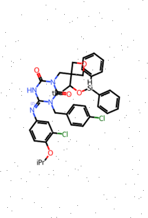 CC(C)Oc1ccc(/N=c2/[nH]c(=O)n(CC3(C(O[SiH](c4ccccc4)c4ccccc4)C(C)(C)C)COC3)c(=O)n2Cc2ccc(Cl)cc2)cc1Cl